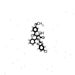 COc1ccc(C(=O)C2=C(O)C(=O)N(c3nc4ccc(Cl)cc4s3)C2C2CCCCC2)cc1